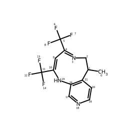 CC1C/N=C(C(F)(F)F)/C=C(/C(F)(F)F)Nc2cnccc21